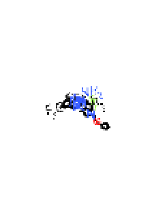 Cc1cc2c(cc1C(F)F)N(CCOCc1ccccc1)CCC[C@@H]2N(Cc1cc(C(F)(F)F)cc(C(F)(F)F)c1)c1nnn(CCN)n1